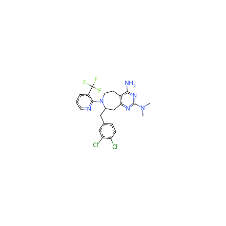 CN(C)c1nc(N)c2c(n1)CC(Cc1ccc(Cl)c(Cl)c1)N(c1ncccc1C(F)(F)F)CC2